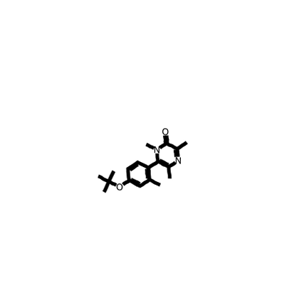 Cc1cc(OC(C)(C)C)ccc1-c1c(C)nc(C)c(=O)n1C